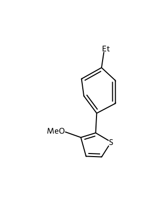 CCc1ccc(-c2sccc2OC)cc1